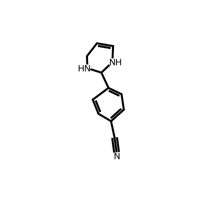 N#Cc1ccc(C2NC=CCN2)cc1